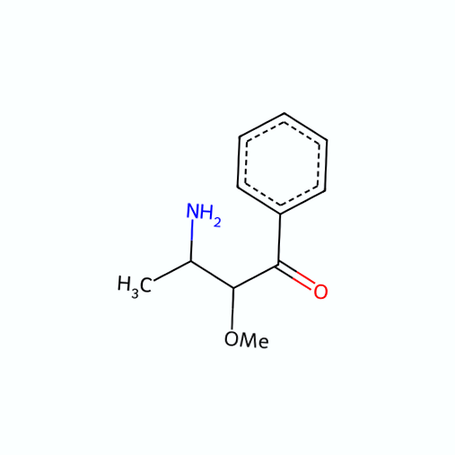 COC(C(=O)c1ccccc1)C(C)N